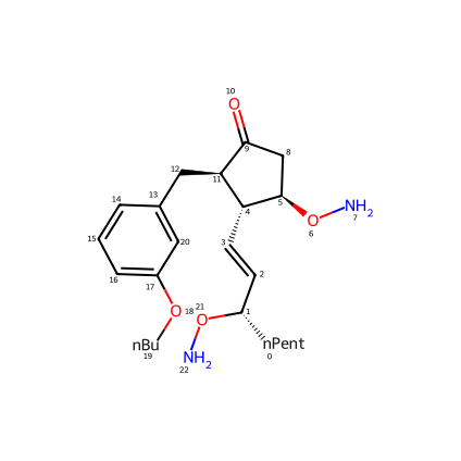 CCCCC[C@@H](/C=C/[C@H]1[C@H](ON)CC(=O)[C@@H]1Cc1cccc(OCCCC)c1)ON